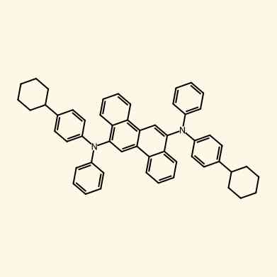 c1ccc(N(c2ccc(C3CCCCC3)cc2)c2cc3c4ccccc4c(N(c4ccccc4)c4ccc(C5CCCCC5)cc4)cc3c3ccccc23)cc1